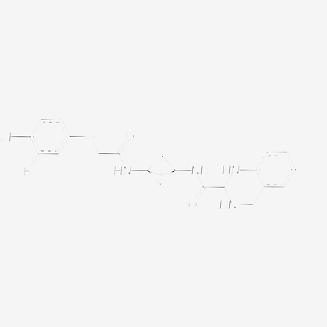 O=C(COc1ccc(Cl)c(F)c1)NC12CC(NC(=O)C3NCc4ccccc4N3)(C1)C2